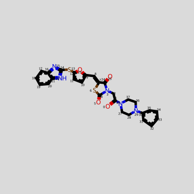 O=C(CN1C(=O)SC(=Cc2ccc(Sc3nc4ccccc4[nH]3)o2)C1=O)N1CCN(c2ccccc2)CC1